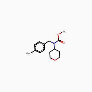 COc1ccc(CN(C(=O)OC(C)(C)C)C2CCOCC2)cc1